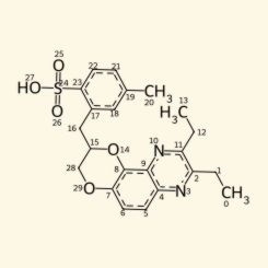 CCc1nc2ccc3c(c2nc1CC)OC(Cc1cc(C)ccc1S(=O)(=O)O)CO3